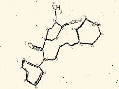 CN1CC(C(=O)N(CCCN2CCNCC2)c2ccccc2)CC1=O